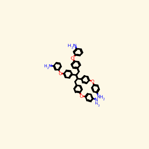 Nc1ccc(Oc2ccc(CC(c3ccc(Oc4ccc(N)cc4)cc3)C(Cc3ccc(Oc4cccc(N)c4)cc3)c3ccc(Oc4cccc(N)c4)cc3)cc2)cc1